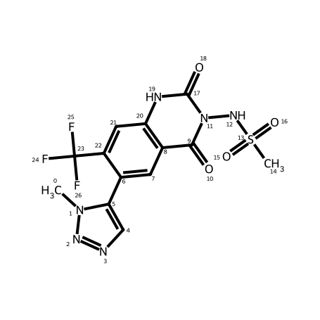 Cn1nncc1-c1cc2c(=O)n(NS(C)(=O)=O)c(=O)[nH]c2cc1C(F)(F)F